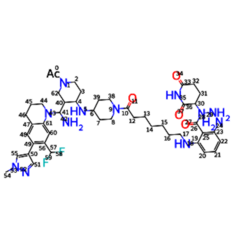 CC(=O)N1CCC(NC2CCN(C(=O)CCCCCCNc3cccc(N)c3C(=O)N(N)C3CCC(=O)NC3=O)CC2)C(C(N)N2CCCc3cc(-c4cnn(C)c4)c(C(F)F)cc32)C1